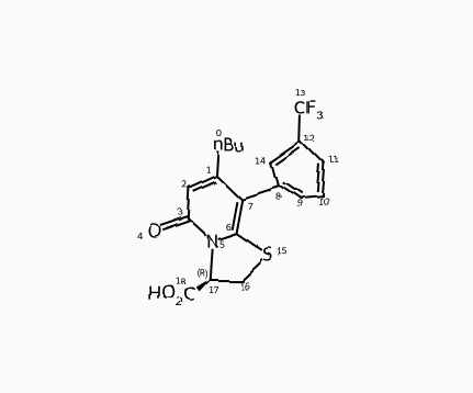 CCCCc1cc(=O)n2c(c1-c1cccc(C(F)(F)F)c1)SC[C@H]2C(=O)O